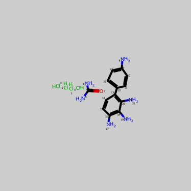 Cl.Cl.Cl.Cl.NC(N)=O.Nc1ccc(-c2ccc(N)c(N)c2N)cc1